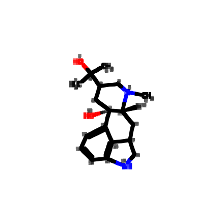 CN1CC(C(C)(C)O)C[C@]2(O)c3cccc4c3C(CN4)C[C@@H]12